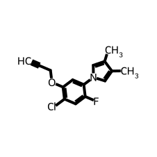 C#CCOc1cc(-n2cc(C)c(C)c2)c(F)cc1Cl